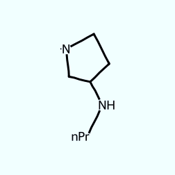 CCCNC1CC[N]C1